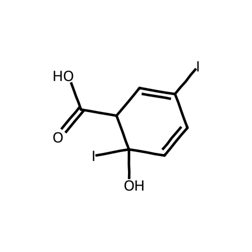 O=C(O)C1C=C(I)C=CC1(O)I